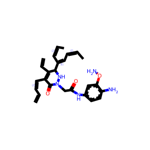 C=C/C=C\C1=C(C=C)C(C(/C=C\C)=C/C=C\C)NN(CC(=O)Nc2ccc(N)c(ON)c2)C1=O